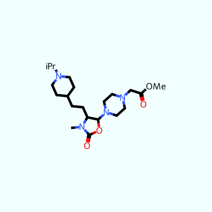 COC(=O)CN1CCN(C2OC(=O)N(C)C2CCC2CCN(C(C)C)CC2)CC1